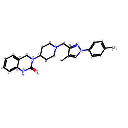 Cc1cn(-c2ccc(C(F)(F)F)cc2)nc1CN1CCC(N2Cc3ccccc3NC2=O)CC1